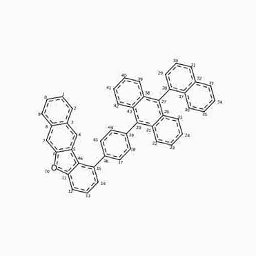 c1ccc2cc3c(cc2c1)oc1cccc(-c2ccc(-c4c5ccccc5c(-c5cccc6ccccc56)c5ccccc45)cc2)c13